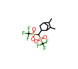 CC1C2CC(C1C)C(C(S(=O)(=O)C(F)(F)F)S(=O)(=O)C(F)(F)F)C2